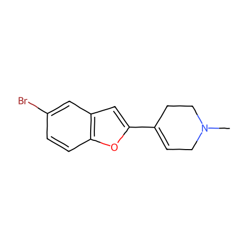 CN1CC=C(c2cc3cc(Br)ccc3o2)CC1